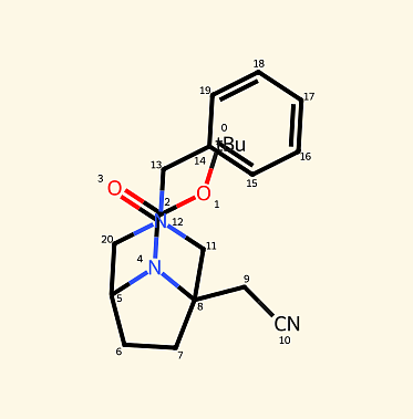 CC(C)(C)OC(=O)N1C2CCC1(CC#N)CN(Cc1ccccc1)C2